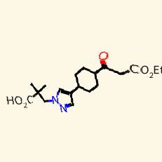 CCOC(=O)CC(=O)C1CCC(c2cnn(CC(C)(C)C(=O)O)c2)CC1